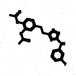 CC(=O)Oc1ccc(CCc2nnc(Nc3cccc(F)c3)s2)cc1OC(C)=O